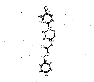 O=C(CN1CCN(c2ccc(=O)[nH]n2)CC1)OCc1ccccc1